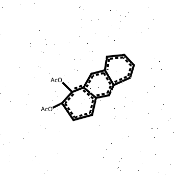 CC(=O)Oc1ccc2cc3ccccc3cc2c1OC(C)=O